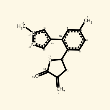 C=C1CC(c2ccc(C)cc2-c2cnn(C)c2)OC1=O